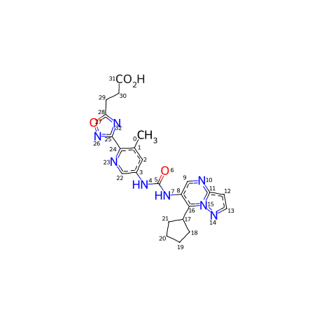 Cc1cc(NC(=O)Nc2cnc3ccnn3c2C2CCCC2)cnc1-c1noc(CCC(=O)O)n1